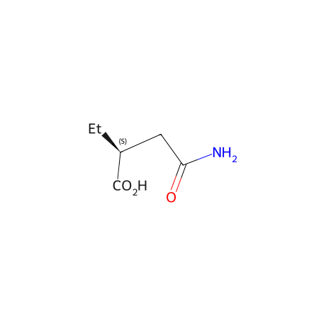 CC[C@@H](CC(N)=O)C(=O)O